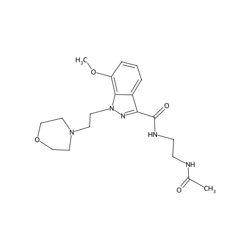 COc1cccc2c(C(=O)NCCNC(C)=O)nn(CCN3CCOCC3)c12